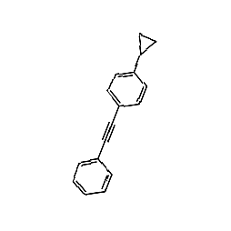 C(#Cc1ccc(C2CC2)cc1)c1ccccc1